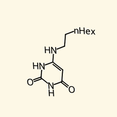 CCCCCCCCNc1cc(=O)[nH]c(=O)[nH]1